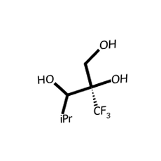 CC(C)C(O)[C@](O)(CO)C(F)(F)F